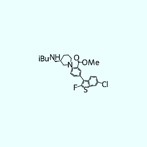 CC[C@@H](C)NC[C@H]1CCCN(c2ccc(-c3c(F)sc4cc(Cl)ccc34)cc2C(=O)OC)C1